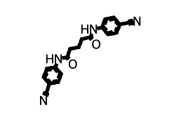 N#Cc1ccc(NC(=O)CCCC(=O)Nc2ccc(C#N)cc2)cc1